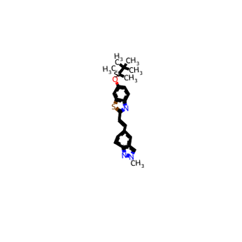 Cn1cc2cc(/C=C/c3nc4ccc(O[Si](C)(C)C(C)(C)C)cc4s3)ccc2n1